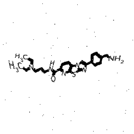 CCN(CC)CCCNC(=O)c1ccc2c(n1)sc1nc(-c3ccc(CN)cc3)cn12